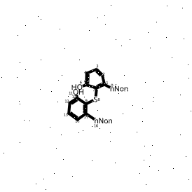 CCCCCCCCCc1cccc(O)c1Sc1c(O)cccc1CCCCCCCCC